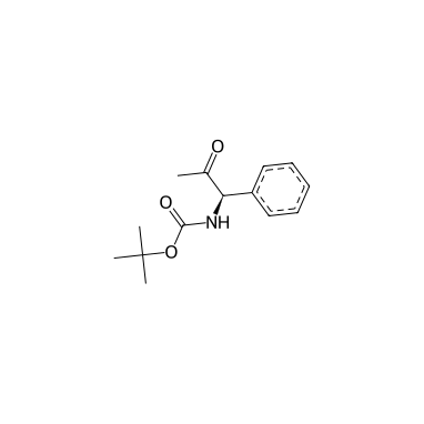 CC(=O)[C@H](NC(=O)OC(C)(C)C)c1ccccc1